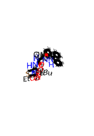 CCC1SCC2C(NC(=O)C(=NOC)c3csc(NC(c4ccccc4)(c4ccccc4)c4ccccc4)n3)C(=O)N2C1(O)C(=O)OC(C)(C)C